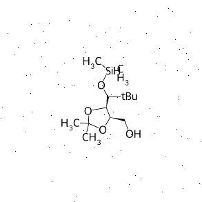 C[SiH](C)OC([C@@H]1OC(C)(C)O[C@@H]1CO)C(C)(C)C